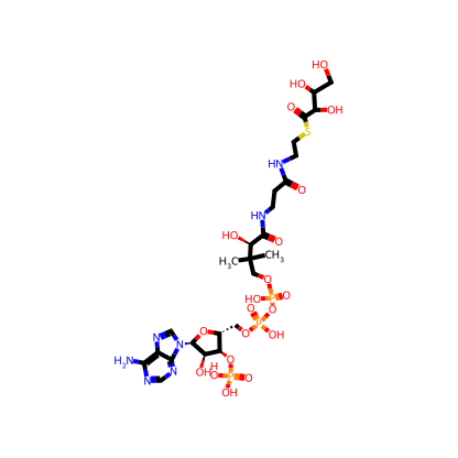 CC(C)(COP(=O)(O)OP(=O)(O)OC[C@H]1O[C@@H](n2cnc3c(N)ncnc32)[C@H](O)[C@@H]1OP(=O)(O)O)[C@@H](O)C(=O)NCCC(=O)NCCSC(=O)C(O)C(O)CO